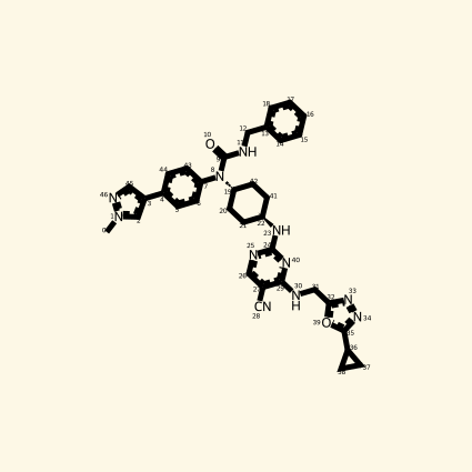 Cn1cc(-c2ccc(N(C(=O)NCc3ccccc3)[C@H]3CC[C@H](Nc4ncc(C#N)c(NCc5nnc(C6CC6)o5)n4)CC3)cc2)cn1